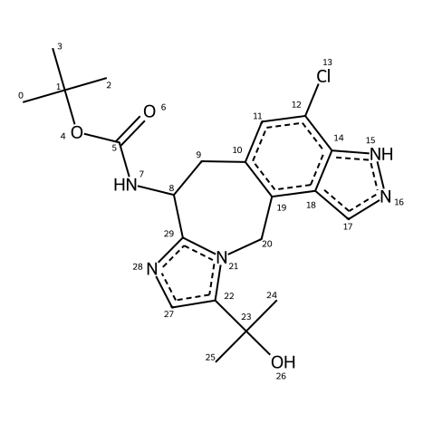 CC(C)(C)OC(=O)NC1Cc2cc(Cl)c3[nH]ncc3c2Cn2c(C(C)(C)O)cnc21